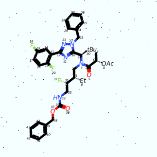 CC[C@@H](CN(C(=O)[C@H](C)OC(C)=O)[C@@H](c1nc(-c2cc(F)ccc2F)nn1Cc1ccccc1)C(C)(C)C)[C@@H](F)CNC(=O)OCc1ccccc1